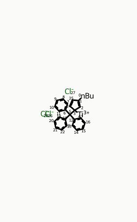 CCCCC1=C[C]([Ti+3])(C(c2ccccc2)(c2ccccc2)c2ccccc2)C=C1.[Cl-].[Cl-].[Cl-]